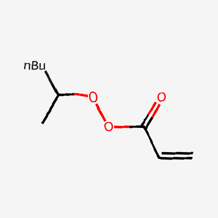 C=CC(=O)OOC(C)CCCC